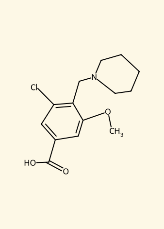 COc1cc(C(=O)O)cc(Cl)c1CN1CCCCC1